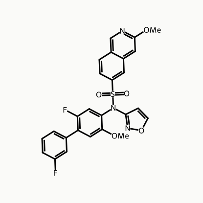 COc1cc2cc(S(=O)(=O)N(c3ccon3)c3cc(F)c(-c4cccc(F)c4)cc3OC)ccc2cn1